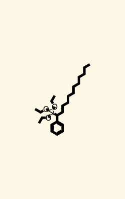 CCCCCCCCCCCC(c1ccccc1)[Si](OCC)(OCC)OCC